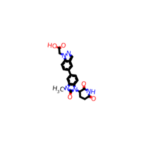 Cn1c(=O)n(C2CCC(=O)NC2=O)c2ccc(-c3ccc4c(cnn4CC(=O)O)c3)cc21